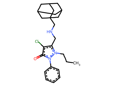 CCCn1c(CNCC23CC4CC(CC(C4)C2)C3)c(Cl)c(=O)n1-c1ccccc1